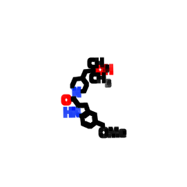 COCc1ccc2[nH]c(C(=O)N3CCC(CC(C)(C)O)CC3)cc2c1